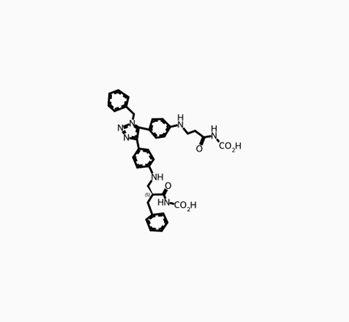 O=C(O)NC(=O)CCNc1ccc(-c2c(-c3ccc(NC[C@H](Cc4ccccc4)C(=O)NC(=O)O)cc3)nnn2Cc2ccccc2)cc1